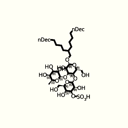 CCCCCCCCCCCCCCC(CCCCCCCCCCCCCC)CO[C@@H]1O[C@H](CO)[C@@H](O[C@@H]2O[C@H](CO)[C@H](O)[C@H](OS(=O)(=O)O)[C@H]2O)[C@H](O[C@@H]2O[C@@H](C)[C@@H](O)[C@@H](O)[C@@H]2O)[C@H]1O